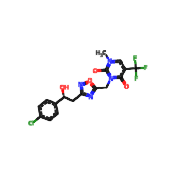 Cn1cc(C(F)(F)F)c(=O)n(Cc2nc(C[C@H](O)c3ccc(Cl)cc3)no2)c1=O